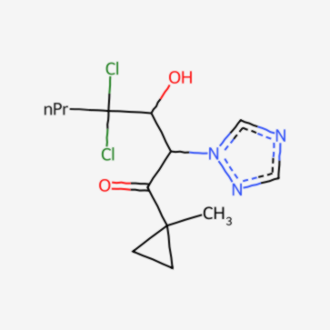 CCCC(Cl)(Cl)C(O)C(C(=O)C1(C)CC1)n1cncn1